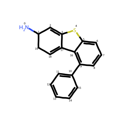 NC1C=c2sc3cccc(-c4ccccc4)c3c2=CC1